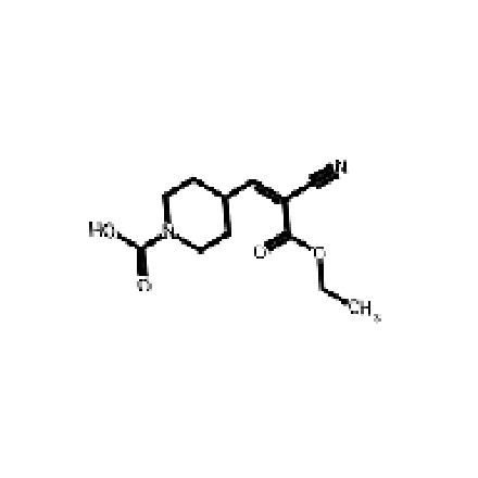 CCOC(=O)C(C#N)=CC1CCN(C(=O)O)CC1